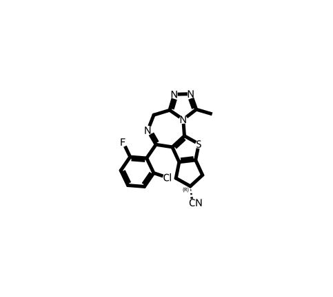 Cc1nnc2n1-c1sc3c(c1C(c1c(F)cccc1Cl)=NC2)C[C@@H](C#N)C3